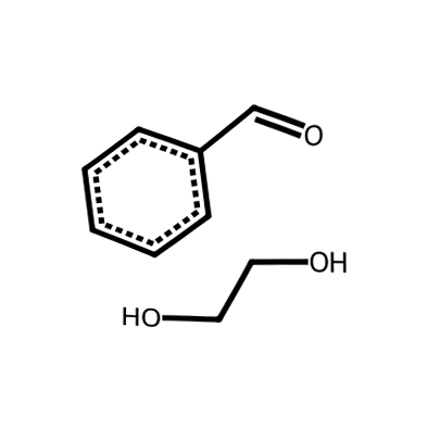 O=Cc1ccccc1.OCCO